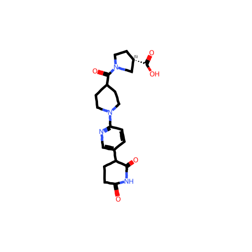 O=C1CCC(c2ccc(N3CCC(C(=O)N4CC[C@H](C(=O)O)C4)CC3)nc2)C(=O)N1